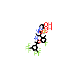 Cc1cc(F)ccc1-c1cc(N2CC[C@@H](O)[C@@]2(O)S(C)(=O)=O)ncc1N(C)C(=O)C(C)(C)c1cc(C(F)(F)F)cc(C(F)(F)F)c1